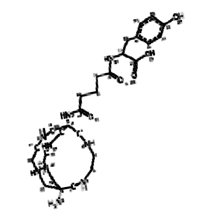 N[C@]12CNCCNC[C@](NC(=O)CCCC(=O)NC(Cc3ccc(O)cc3)C(=O)O)(CNCCNC1)CNCCNC2